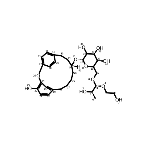 C[C@@H](O)[C@H](OCCO)OCC1O[C@H](O[C@@H]2CCCCc3ccc(O)c(c3)Oc3ccc(cc3)CC2)C(O)[C@@H](O)[C@H]1O